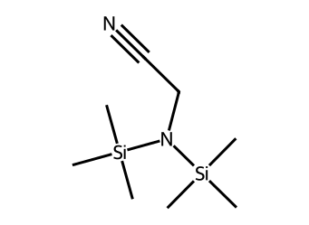 C[Si](C)(C)N(CC#N)[Si](C)(C)C